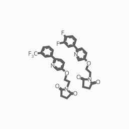 O=C1CCC(=O)N1CCOc1ccc(-c2ccc(F)c(F)c2)nc1.O=C1CCC(=O)N1CCOc1ccc(-c2cccc(C(F)(F)F)c2)nc1